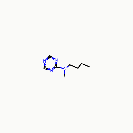 CCCCN(C)c1ncncn1